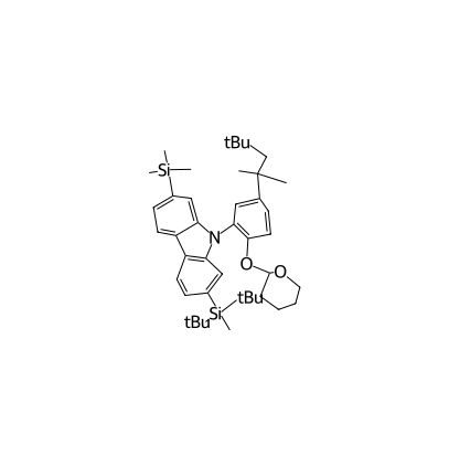 CC(C)(C)CC(C)(C)c1ccc(OC2CCCCO2)c(-n2c3cc([Si](C)(C)C)ccc3c3ccc([Si](C)(C(C)(C)C)C(C)(C)C)cc32)c1